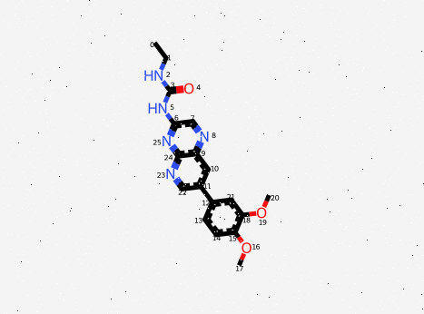 CCNC(=O)Nc1cnc2cc(-c3ccc(OC)c(OC)c3)cnc2n1